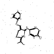 CC(C)=C1CCC(=C\Sc2ccccc2)/C(=N/c2ccc(Cl)cc2)S1